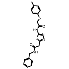 Cc1ccc(SCC(=O)Nc2nnc(CC(=O)NCc3ccccc3)s2)cc1